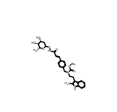 Cc1[nH]c2ccccc2c1CCN(Cc1ccc(/C=C/C(=O)NOC2C[C@H](O)[C@H](O)[C@H](C)O2)cc1)C(=O)OC(C)(C)C